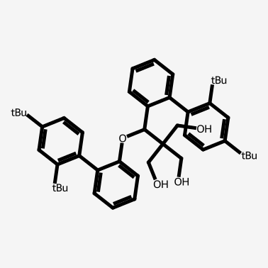 CC(C)(C)c1ccc(-c2ccccc2OC(c2ccccc2-c2ccc(C(C)(C)C)cc2C(C)(C)C)C(CO)(CO)CO)c(C(C)(C)C)c1